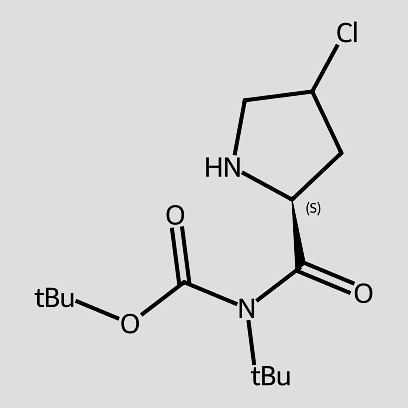 CC(C)(C)OC(=O)N(C(=O)[C@@H]1CC(Cl)CN1)C(C)(C)C